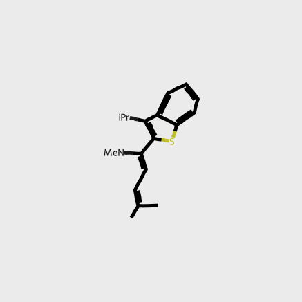 CN/C(=C\C=C(C)C)c1sc2ccccc2c1C(C)C